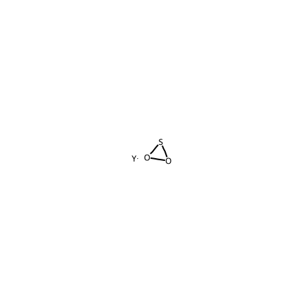 [Y].o1os1